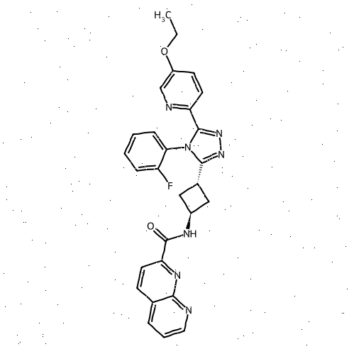 CCOc1ccc(-c2nnc([C@H]3C[C@H](NC(=O)c4ccc5cccnc5n4)C3)n2-c2ccccc2F)nc1